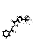 CC(C)(C)c1coc(C(=O)NOC(=O)N2CCCCC2)n1